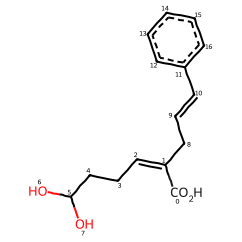 O=C(O)C(=CCCC(O)O)CC=Cc1ccccc1